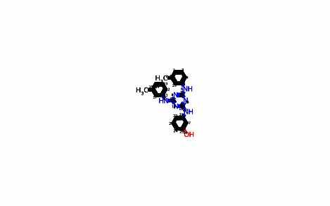 Cc1cccc(Nc2nc(Nc3cccc(C)c3)nc(Nc3cccc(O)c3)n2)c1